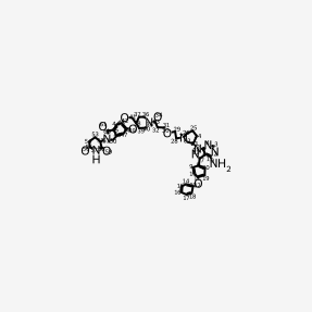 Nc1ncnc2c1c(-c1ccc(Oc3ccccc3)cc1)nn2[C@@H]1CCCN(CCOCCC(=O)N2CCC3(CC2)COc2cc4c(cc2O3)CN(C2CCC(=O)NC2=O)C4=O)C1